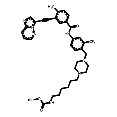 Cc1ccc(C(=O)Nc2ccc(CN3CCN(CCCCCCNC(=O)OC(C)(C)C)CC3)c(C(F)(F)F)c2)cc1C#Cc1cnc2cccnn12